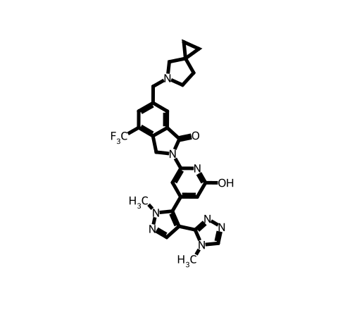 Cn1cnnc1-c1cnn(C)c1-c1cc(O)nc(N2Cc3c(cc(CN4CCC5(CC5)C4)cc3C(F)(F)F)C2=O)c1